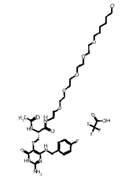 CC(=O)N[C@@H](CSc1c(NCc2ccc(F)cc2)nc(N)[nH]c1=O)C(=O)NCCOCCOCCOCCOCCOCCCCCCCl.O=C(O)C(F)(F)F